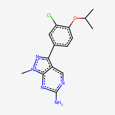 CC(C)Oc1ccc(-c2nn(C)c3nc(N)ncc23)cc1Cl